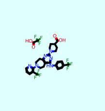 O=C(O)C(F)(F)F.O=C(O)C1CCN(c2nc3c(c(Nc4ccc(C(F)(F)F)cc4)n2)CCN(c2ncccc2C(F)(F)F)CC3)CC1